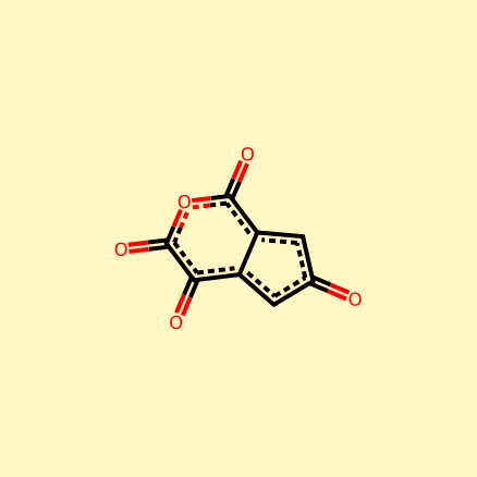 O=c1cc2c(=O)oc(=O)c(=O)c-2c1